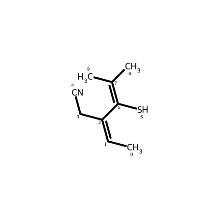 C/C=C(/CC#N)C(S)=C(C)C